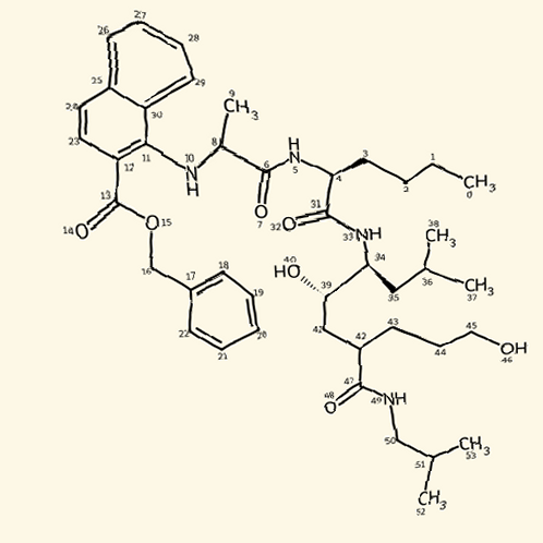 CCCC[C@H](NC(=O)C(C)Nc1c(C(=O)OCc2ccccc2)ccc2ccccc12)C(=O)N[C@@H](CC(C)C)[C@@H](O)CC(CCCO)C(=O)NCC(C)C